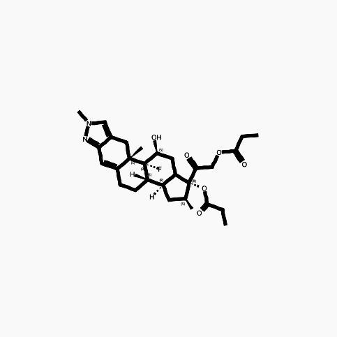 CCC(=O)OCC(=O)[C@]1(OC(=O)CC)C2C[C@H](O)[C@@]3(F)[C@@H](CCC4=Cc5nn(C)cc5C[C@@]43C)[C@@H]2C[C@@H]1C